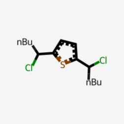 CCCCC(Cl)c1ccc(C(Cl)CCCC)s1